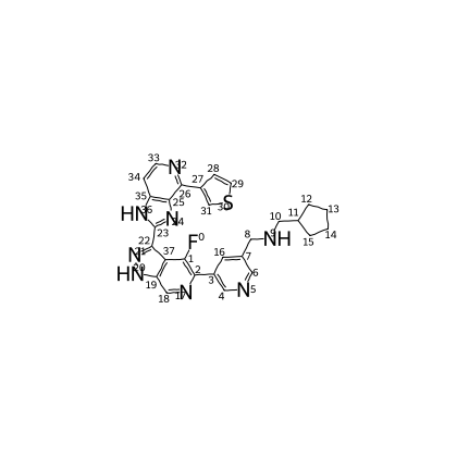 Fc1c(-c2cncc(CNCC3CCCC3)c2)ncc2[nH]nc(-c3nc4c(-c5ccsc5)nccc4[nH]3)c12